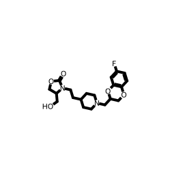 O=C1OCC(CO)N1CCC1CCN(CC2COc3ccc(F)cc3O2)CC1